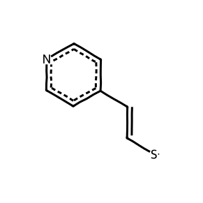 [S]C=Cc1ccncc1